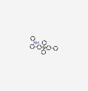 c1ccc(Nc2ccccc2-c2ccc([Si](c3ccccc3)(c3ccccc3)c3ccc(-c4ccccc4)cc3)cc2)cc1